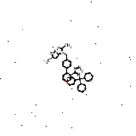 Cc1cc2n(Cc3ccc(-c4ccccc4-c4nnnn4C(c4ccccc4)(c4ccccc4)c4ccccc4)cc3)c(C)nn2n1